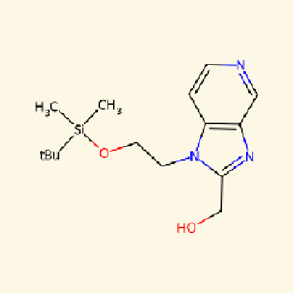 CC(C)(C)[Si](C)(C)OCCn1c(CO)nc2cnccc21